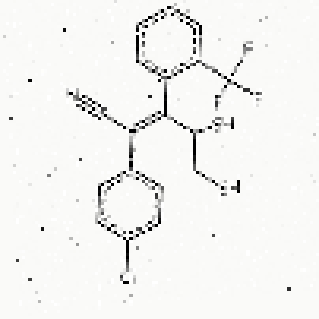 N#CC(=C(c1ccccc1C(F)(F)F)C(S)CS)c1ccc(Cl)cc1